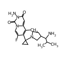 Cc1c(C2(N3CCC(C(N)C(C)C)C3)CC2)c(F)cn2c(=O)n(N)c(=O)cc12